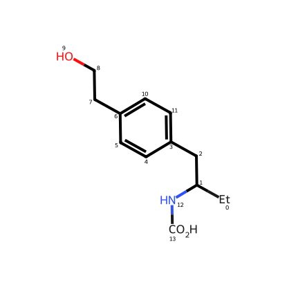 CCC(Cc1ccc(CCO)cc1)NC(=O)O